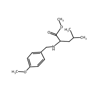 COC(=O)C(CC(C)C)NCc1ccc(OC)cc1